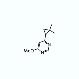 COc1cc(C2CC2(C)C)ncn1